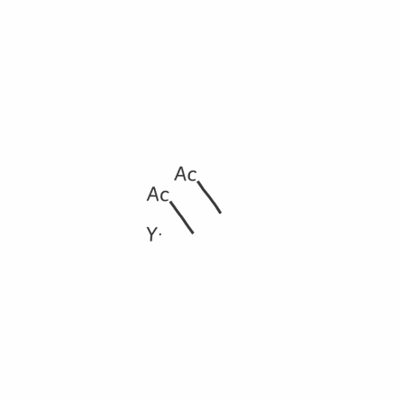 CC(C)=O.CC(C)=O.[Y]